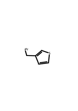 CC(C)Cc1[c]cs[c]1